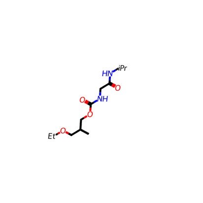 CCOCC(C)COC(=O)NCC(=O)NC(C)C